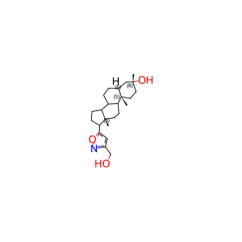 C[C@@]1(O)CC[C@]2(C)C3CC[C@]4(C)C(c5cc(CO)no5)CCC4C3CC[C@H]2C1